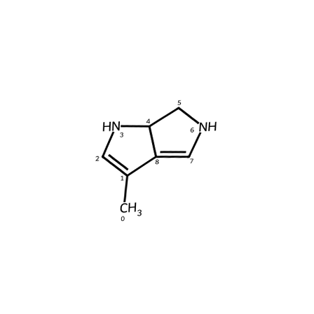 CC1=CNC2CNC=C12